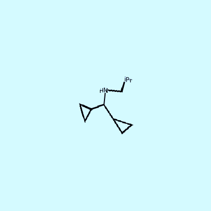 CC(C)CNC(C1CC1)C1CC1